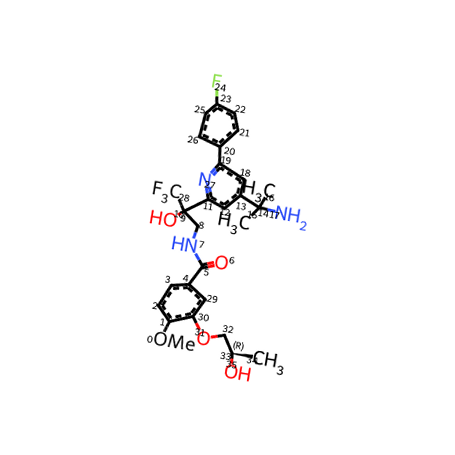 COc1ccc(C(=O)NCC(O)(c2cc(C(C)(C)N)cc(-c3ccc(F)cc3)n2)C(F)(F)F)cc1OC[C@@H](C)O